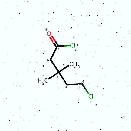 CC(C)(CCCl)CC(=O)Cl